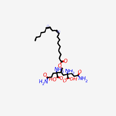 CCCCC/C=C\C/C=C\CCCCCCCC(=O)OCC(CC(N)(CCC(N)=O)C(=O)O)C(N)(CCC(N)=O)C(=O)O